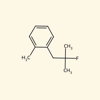 [CH2]c1ccccc1CC(C)(C)F